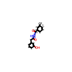 O=C(Cc1cccc(O)c1)NNC(=O)c1cccc(C(F)(F)F)c1